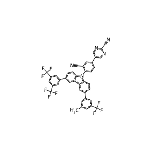 Cc1cc(-c2ccc3c(c2)c2cc(-c4cc(C(F)(F)F)cc(C(F)(F)F)c4)ccc2n3-c2ccc(-c3cnc(C#N)nc3)cc2C#N)cc(C(F)(F)F)c1